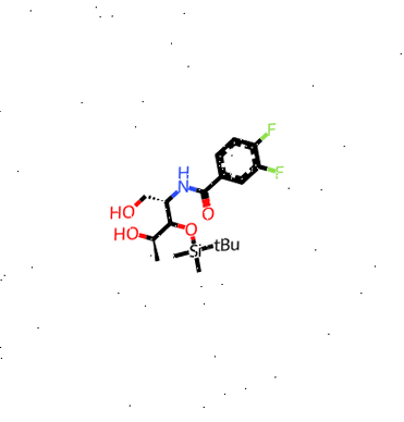 C[C@@H](O)C(O[Si](C)(C)C(C)(C)C)[C@H](CO)NC(=O)c1ccc(F)c(F)c1